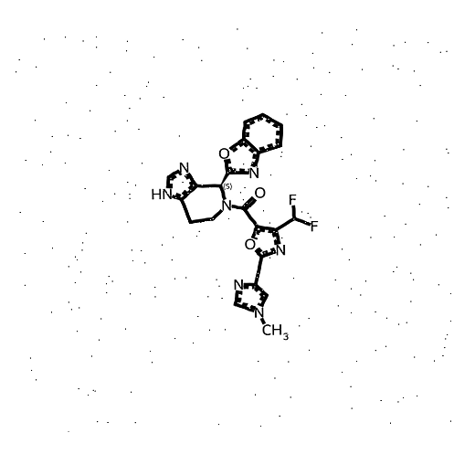 Cn1cnc(-c2nc(C(F)F)c(C(=O)N3CCc4[nH]cnc4[C@H]3c3nc4ccccc4o3)o2)c1